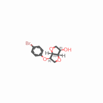 O[C@@H]1CO[C@@H]2[C@H]1OC[C@H]2Oc1ccc(Br)cc1